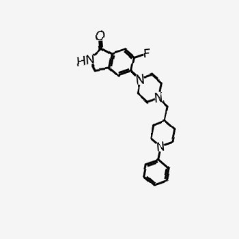 O=C1NCc2cc(N3CCN(CC4CCN(c5ccccc5)CC4)CC3)c(F)cc21